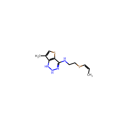 C/C=C\SCCNC1=NNNc2c(C)csc21